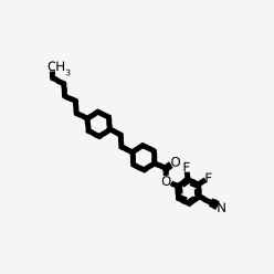 CCCCCCC1CCC(CCC2CCC(C(=O)Oc3ccc(C#N)c(F)c3F)CC2)CC1